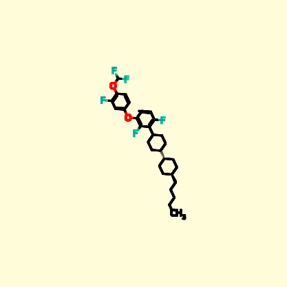 CCCCC[C@H]1CC[C@H](C2CCC(c3c(F)c[c]c(Oc4ccc(OC(F)F)c(F)c4)c3F)CC2)CC1